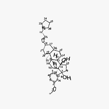 COc1cccc(C2(O)CC[C@@]3(O)[C@@H]4CCC5CC(OCCN6CCCC6)CC[C@]5(C)[C@@H]4CC[C@]23C)c1